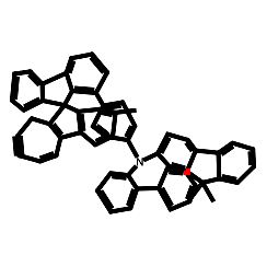 Cc1ccc2c(c1)C1(C3=C2C=CC#CC3)c2ccccc2-c2cccc(-c3ccc(N(c4ccc5c(c4)C(C)(C)c4ccccc4-5)c4ccccc4-c4ccccc4)cc3)c21